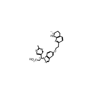 Cc1ncc([C@H](CC(=O)O)n2ncc3cc(OCCc4ccc5c(n4)N[C@H](C)CC5)ccc32)cn1